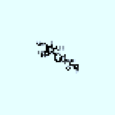 CSc1c(F)c(C)c(-c2ccc3nc(NC(=O)C4CC4F)sc3n2)c2cn[nH]c12